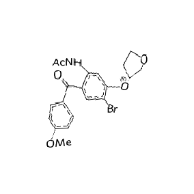 COc1ccc(C(=O)c2cc(Br)c(O[C@@H]3CCOC3)cc2NC(C)=O)cc1